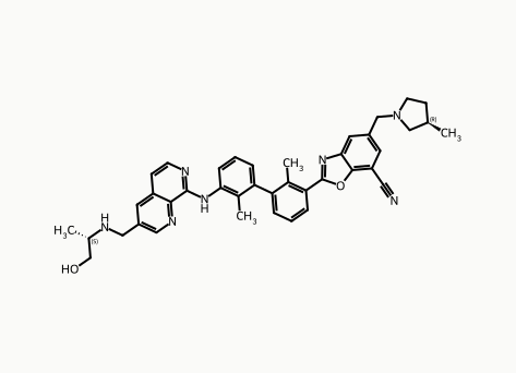 Cc1c(Nc2nccc3cc(CN[C@@H](C)CO)cnc23)cccc1-c1cccc(-c2nc3cc(CN4CC[C@@H](C)C4)cc(C#N)c3o2)c1C